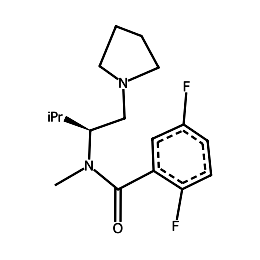 CC(C)[C@@H](CN1CCCC1)N(C)C(=O)c1cc(F)ccc1F